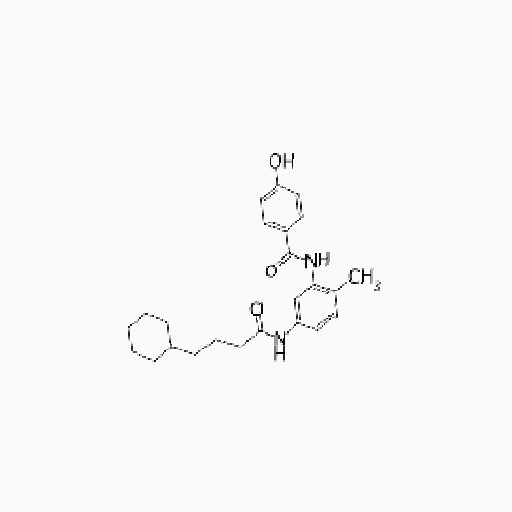 Cc1ccc(NC(=O)CCCC2CCCCC2)cc1NC(=O)c1ccc(O)cc1